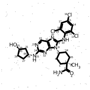 C[C@]1(C(N)=O)CC[C@H](n2c(Nc3c(Cl)cc(Cl)cc3Cl)nc3cnc(N[C@@H]4CC[C@@H](O)C4)nc32)CC1